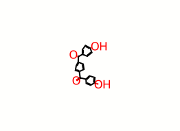 O=C(c1ccc(O)cc1)c1ccc(C(=O)c2ccc(O)cc2)cc1